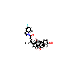 C[C@H](CCC(=O)n1ccc2cc(F)ccc21)[C@H]1CC[C@H]2[C@@H]3[C@H](O)C[C@@H]4C[C@H](O)CC[C@]4(C)[C@H]3C[C@H](O)[C@]12C